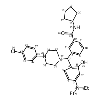 CCN(CC)c1ccc(C(c2cccc(C(=O)NC3CCCC3)c2)N2CCN(c3ccc(Cl)cc3)CC2)c(O)c1